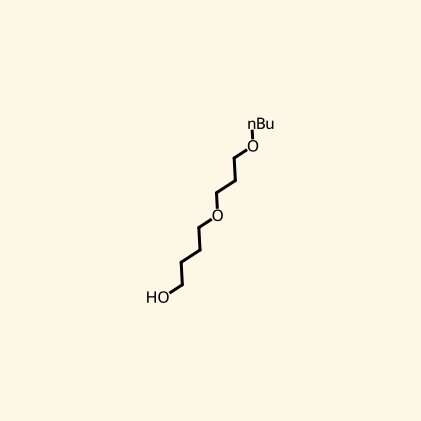 CCCCOCCCOCCCCO